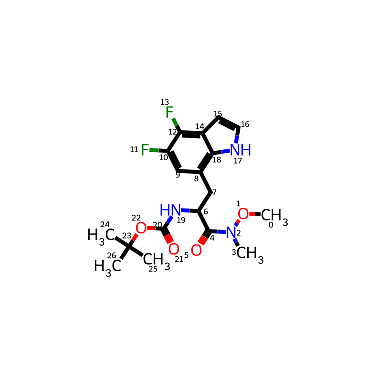 CON(C)C(=O)C(Cc1cc(F)c(F)c2cc[nH]c12)NC(=O)OC(C)(C)C